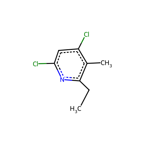 CCc1nc(Cl)cc(Cl)c1C